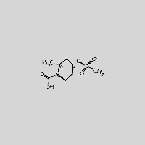 C[C@@H]1C[C@H](OS(C)(=O)=O)CCN1C(=O)O